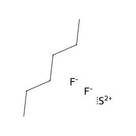 CCCCCC.[F-].[F-].[S+2]